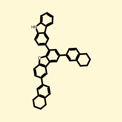 c1ccc2c(c1)[nH]c1ccc(-c3cc(-c4ccc5c(c4)CCCC5)cc4c3oc3ccc(-c5ccc6c(c5)CCCC6)cc34)cc12